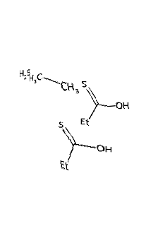 CC.CCC(O)=S.CCC(O)=S.S